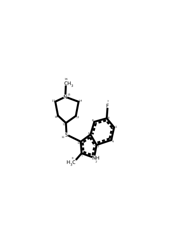 Cc1[nH]c2ccc(F)cc2c1SC1CCN(C)CC1